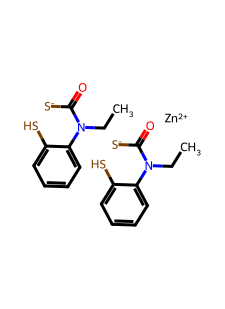 CCN(C(=O)[S-])c1ccccc1S.CCN(C(=O)[S-])c1ccccc1S.[Zn+2]